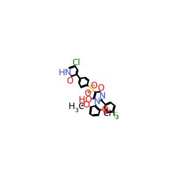 COc1cccc(OC)c1-n1c(-c2ccc(F)cc2)nc(=O)c(S(=O)(=O)c2ccc(-c3cc(Cl)c[nH]c3=O)cc2)c1O